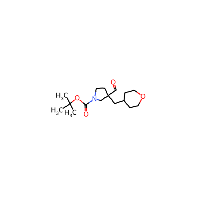 CC(C)(C)OC(=O)N1CCC(C=O)(CC2CCOCC2)C1